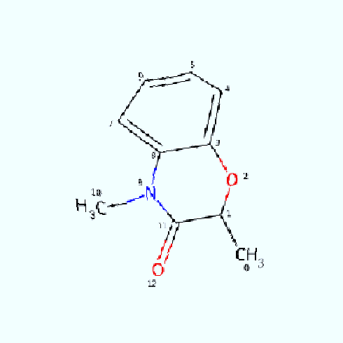 CC1Oc2cc[c]cc2N(C)C1=O